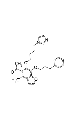 CC(=O)c1c(OCCCCn2ccnc2)c(OCCCc2ccccc2)c2occc2c1C